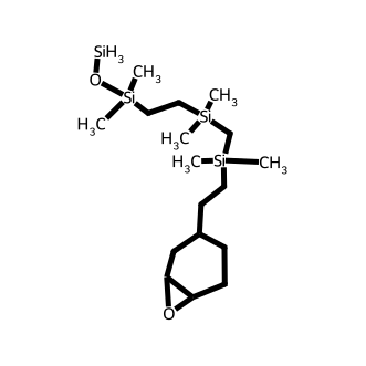 C[Si](C)(CCC1CCC2OC2C1)C[Si](C)(C)CC[Si](C)(C)O[SiH3]